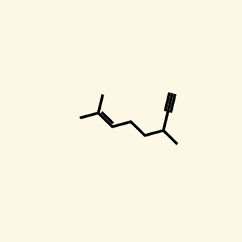 C#CC(C)CCC=C(C)C